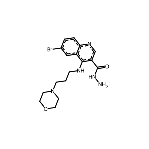 NNC(=O)c1cnc2ccc(Br)cc2c1NCCCN1CCOCC1